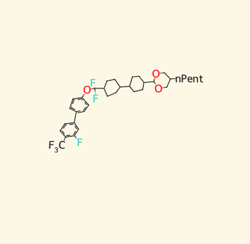 CCCCCC1COC(C2CCC(C3CCC(C(F)(F)Oc4ccc(-c5ccc(C(F)(F)F)c(F)c5)cc4)CC3)CC2)OC1